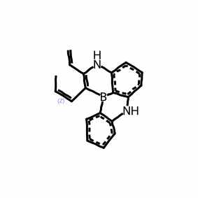 C=CC1=C(/C=C\C)B2c3ccccc3Nc3cccc(c32)N1